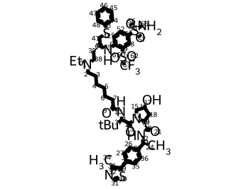 CCN(CCCCCCC(=O)NC(C(=O)N1CC(O)C[C@H]1C(=O)N[C@@H](C)c1ccc(-c2scnc2C)cc1)C(C)(C)C)CC[C@H](CSc1ccccc1)Nc1ccc(S(N)(=O)=O)cc1S(=O)(=O)C(F)(F)F